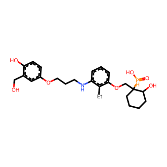 CCc1c(NCCCOc2ccc(O)c(CO)c2)cccc1OCC1([PH](=O)O)CCCCC1O